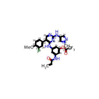 C=CC(=O)Nc1cc(Nc2nc(Nc3cnn(C)c3)ncc2-c2ccc(OC)c(F)c2)cc(OC(=O)C(F)(F)F)c1